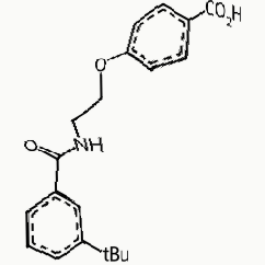 CC(C)(C)c1cccc(C(=O)NCCOc2ccc(C(=O)O)cc2)c1